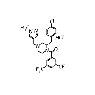 Cl.Cn1cc(CN2CCN(C(=O)c3cc(C(F)(F)F)cc(C(F)(F)F)c3)[C@H](Cc3ccc(Cl)cc3)C2)cn1